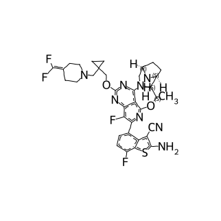 C[C@@H]1Oc2nc(-c3ccc(F)c4sc(N)c(C#N)c34)c(F)c3nc(OCC4(CN5CCC(=C(F)F)CC5)CC4)nc(c23)N2C[C@H]3CC[C@H](N3)[C@@H]12